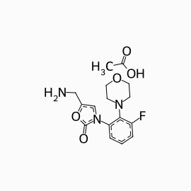 CC(=O)O.NCc1cn(-c2cccc(F)c2N2CCOCC2)c(=O)o1